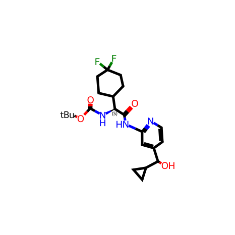 CC(C)(C)OC(=O)N[C@H](C(=O)Nc1cc(C(O)C2CC2)ccn1)C1CCC(F)(F)CC1